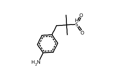 CC(C)(Cc1ccc(N)cc1)[SH](=O)=O